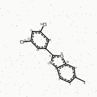 Cc1ccc2nc(-c3cc(Cl)cc(Cl)c3)oc2c1